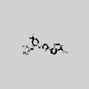 CN(C)C[C@@H]1CC(F)(F)CCN1C[C@@H]1CC[C@H](c2ccc3c(N)ncnn23)O1